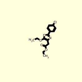 CCOC(=O)Cc1nc(-c2ccc(Cl)cc2)oc1OCC